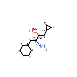 N[C@@H](CC1CCCCC1)[C@@H](O)CC1CC1